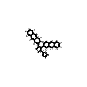 c1csc(-c2scc(-c3ccc4cc5ccccc5cc4c3)c2-c2ccc3cc4ccccc4cc3c2)c1